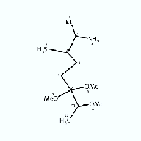 CCC(N)C([SiH3])CCC(OC)(OC)C(C)OC